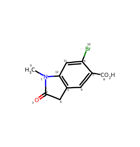 CN1C(=O)Cc2cc(C(=O)O)c(Br)cc21